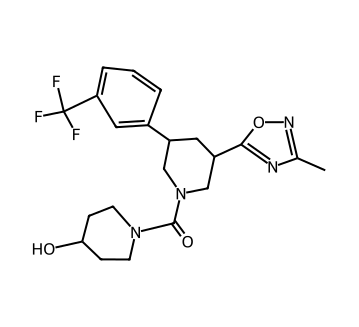 Cc1noc(C2CC(c3cccc(C(F)(F)F)c3)CN(C(=O)N3CCC(O)CC3)C2)n1